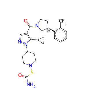 NC(=O)SN1CCC(n2ncc(C(=O)N3CC[C@@H](c4ccccc4C(F)(F)F)C3)c2C2CC2)CC1